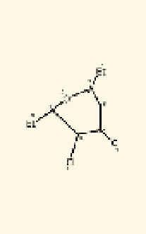 CCC1[O][Al]([CH2]C)[CH2]C(Cl)C1Cl